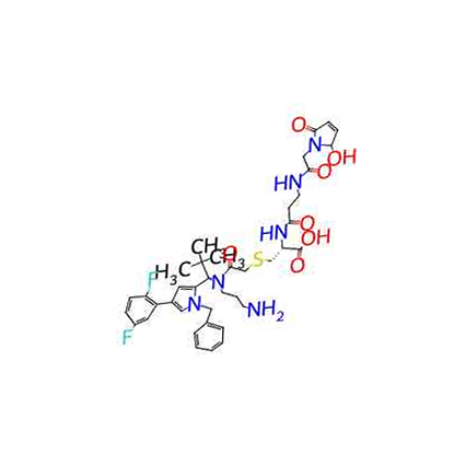 CC(C)(C)[C@H](c1cc(-c2cc(F)ccc2F)cn1Cc1ccccc1)N(CCCN)C(=O)CSC[C@H](NC(=O)CCNC(=O)CN1C(=O)C=CC1O)C(=O)O